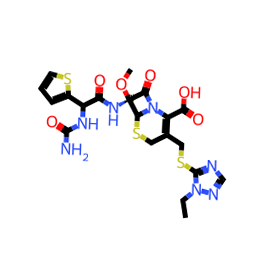 CCn1ncnc1SCC1=C(C(=O)O)N2C(=O)[C@@](NC(=O)C(NC(N)=O)c3cccs3)(OC)C2SC1